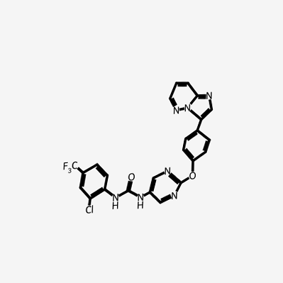 O=C(Nc1cnc(Oc2ccc(-c3cnc4cccnn34)cc2)nc1)Nc1ccc(C(F)(F)F)cc1Cl